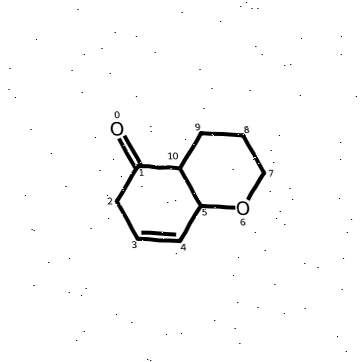 O=C1CC=CC2OCCCC12